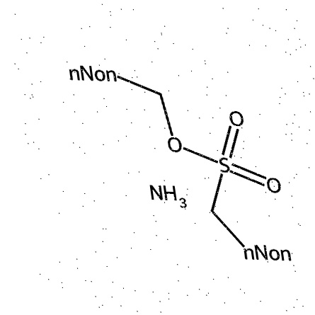 CCCCCCCCCCOS(=O)(=O)CCCCCCCCCC.N